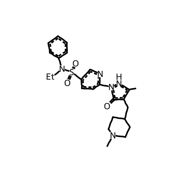 CCN(c1ccccc1)S(=O)(=O)c1ccc(-n2[nH]c(C)c(CC3CCN(C)CC3)c2=O)nc1